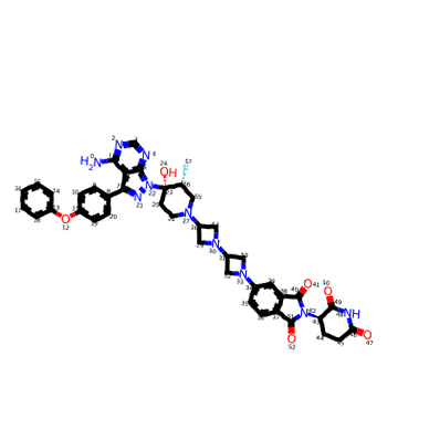 Nc1ncnc2c1c(-c1ccc(Oc3ccccc3)cc1)nn2[C@]1(O)CCN(C2CN(C3CN(c4ccc5c(c4)C(=O)N([C@@H]4CCC(=O)NC4=O)C5=O)C3)C2)C[C@H]1F